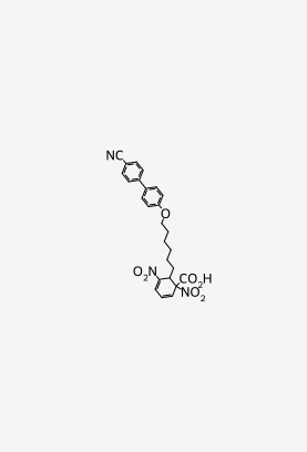 N#Cc1ccc(-c2ccc(OCCCCCCC3C([N+](=O)[O-])=CC=CC3(C(=O)O)[N+](=O)[O-])cc2)cc1